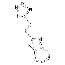 C(=Cc1nc2ccccc2[nH]1)c1nnon1